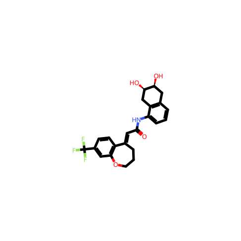 O=C(/C=C1\CCCOc2cc(C(F)(F)F)ccc21)Nc1cccc2c1C[C@@H](O)[C@@H](O)C2